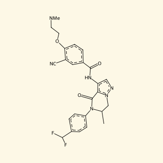 CNCCOc1ccc(C(=O)Nc2cnn3c2C(=O)N(c2ccc(C(F)F)cc2)C(C)C3)cc1C#N